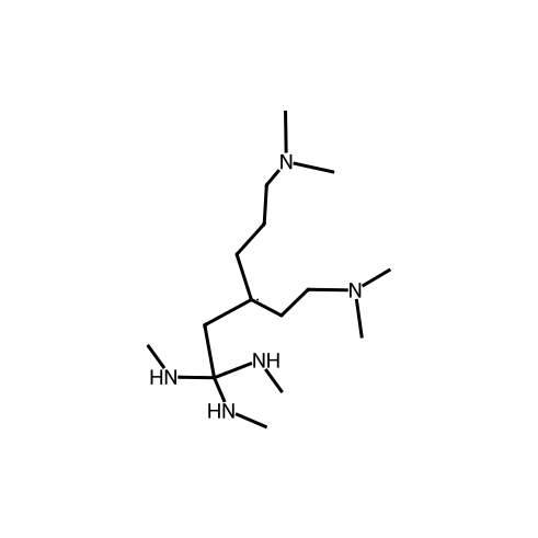 CNC(C[C](CCCN(C)C)CCN(C)C)(NC)NC